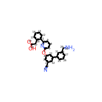 N#Cc1cc(Oc2cccc(-c3ccccc3CC(=O)O)n2)cc(-c2cccc(CN)c2)c1